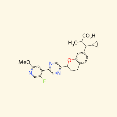 COc1cc(-c2cnc(C3CCc4ccc(C(C5CC5)C(C)C(=O)O)cc4O3)cn2)c(F)cn1